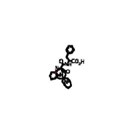 O=C(NC(Cc1ccccc1)C(=O)O)c1nc2ccccc2n(C2CC3CCC(C2)N3C2CCCCCCC2)c1=O